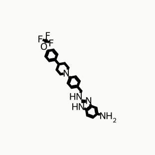 Nc1ccc2[nH]c(NCc3ccc(N4CCC(c5ccc(OC(F)(F)F)cc5)CC4)cc3)nc2c1